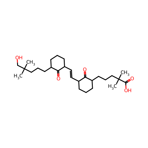 CC(C)(CO)CCCC1CCCC(C=CC2CCCC(CCCC(C)(C)C(=O)O)C2=O)C1=O